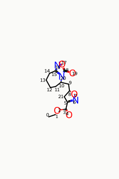 CCOC(=O)C1=NOC(CC2CCCCc3noc(=O)n32)C1